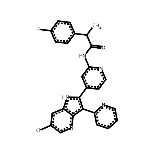 CC(C(=O)Nc1cc(-c2[nH]c3cc(Cl)cnc3c2-c2ccccn2)ccn1)c1ccc(F)cc1